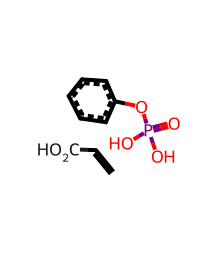 C=CC(=O)O.O=P(O)(O)Oc1ccccc1